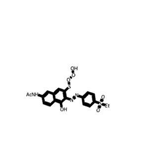 CCS(=O)(=O)c1ccc(/N=N/c2c(SOOO)cc3cc(NC(C)=O)ccc3c2O)cc1